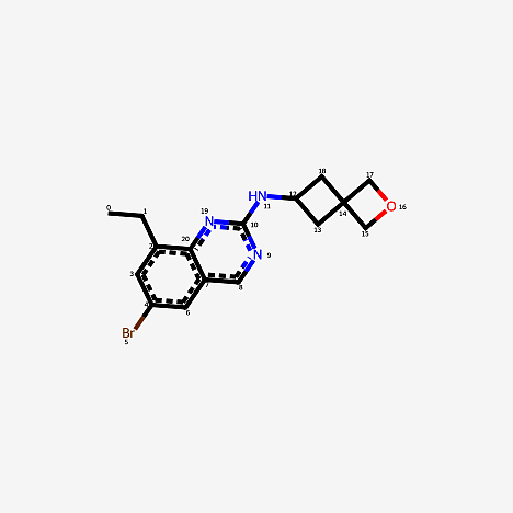 CCc1cc(Br)cc2cnc(NC3CC4(COC4)C3)nc12